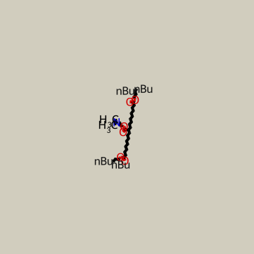 CCCCC(CCCC)CCOC(=O)CCCCCCCCCC(CCCCCCCCCC(=O)OCCC(CCCC)CCCC)C(=O)OCCN(C)C